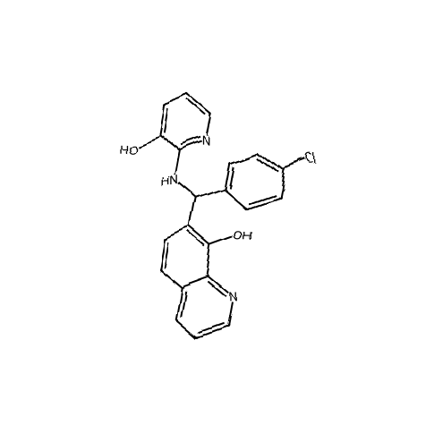 Oc1cccnc1NC(c1ccc(Cl)cc1)c1ccc2cccnc2c1O